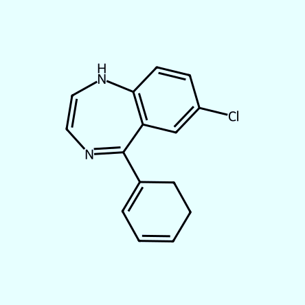 Clc1ccc2c(c1)C(C1=CC=CCC1)=NC=CN2